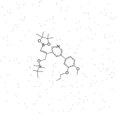 CCCOc1cc(-c2cncc(/C(=C\B3OC(C)(C)C(C)(C)O3)CO[Si](C)(C)C(C)(C)C)c2)ccc1OC